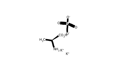 C[C@H](N)C(=O)O.O=S(=O)([O-])[O-].[K+].[K+]